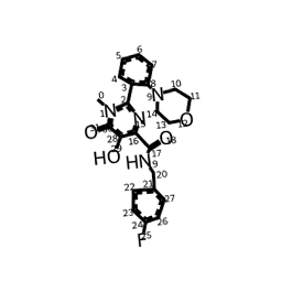 Cn1c(-c2ccccc2N2CCOCC2)nc(C(=O)NCc2ccc(F)cc2)c(O)c1=O